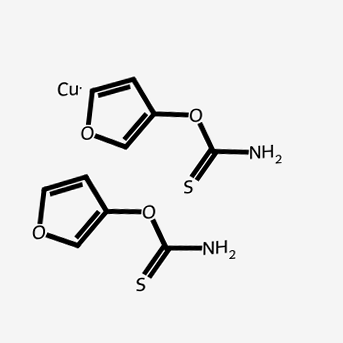 NC(=S)Oc1ccoc1.NC(=S)Oc1ccoc1.[Cu]